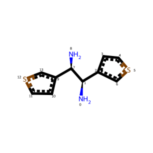 N[C@H](c1ccsc1)[C@H](N)c1ccsc1